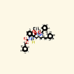 COc1cccc(NC(=O)OCc2ccccc2)c1[C@](S)(CCCCCc1ccccc1)C(=O)NOCc1ccccc1